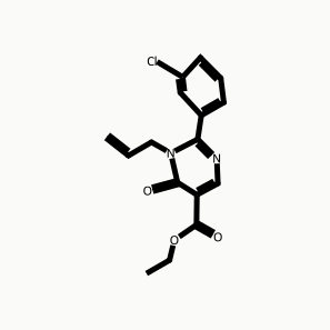 C=CCn1c(-c2cccc(Cl)c2)ncc(C(=O)OCC)c1=O